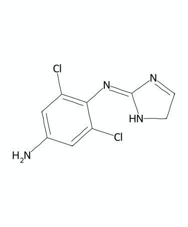 Nc1cc(Cl)c(N=C2N=CCN2)c(Cl)c1